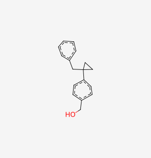 OCc1ccc(C2(Cc3ccccc3)CC2)cc1